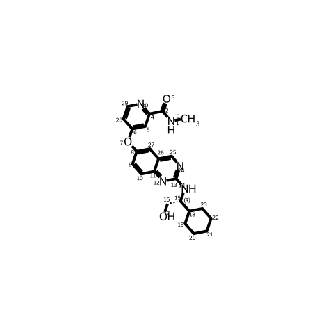 CNC(=O)c1cc(Oc2ccc3nc(N[C@@H](CO)C4CCCCC4)ncc3c2)ccn1